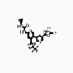 O=C(Nc1cc(-c2nc(C(F)(F)F)cs2)c(-c2cncc(-c3n[nH]c(=O)o3)c2)cn1)NC1CC1